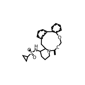 C=C1CCOc2ccccc2-c2cccc(c2)CC2C(NS(=O)(=O)C3CC3)CCCN12